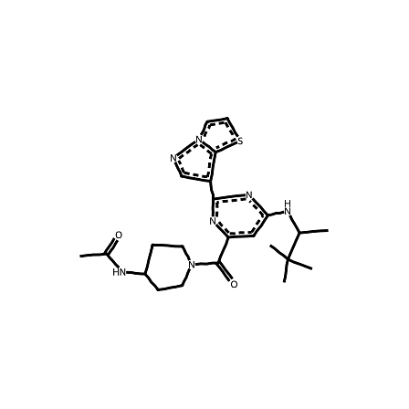 CC(=O)NC1CCN(C(=O)c2cc(NC(C)C(C)(C)C)nc(-c3cnn4ccsc34)n2)CC1